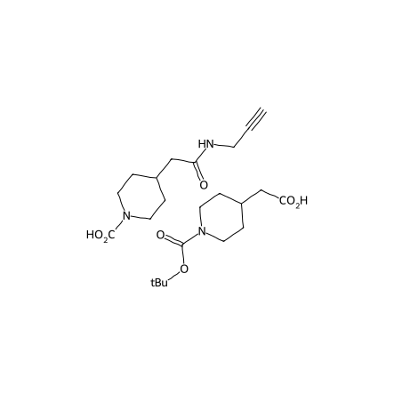 C#CCNC(=O)CC1CCN(C(=O)O)CC1.CC(C)(C)OC(=O)N1CCC(CC(=O)O)CC1